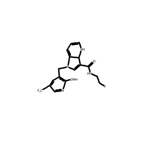 COc1ncc(C(F)(F)F)cc1CN1C=C(C(=O)NCCF)C2NC=CC=C21